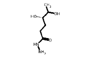 CC(O)[C@@H](O)CCC(=O)NN